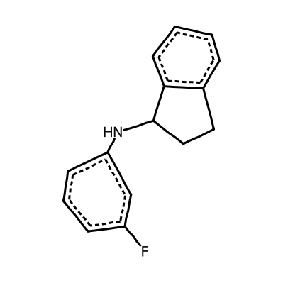 Fc1cccc(NC2CCc3ccccc32)c1